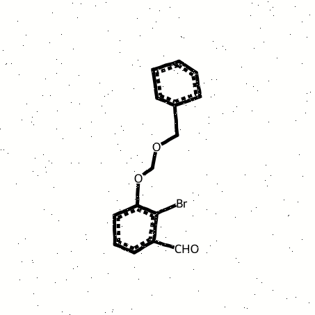 O=Cc1cccc(OCOCc2ccccc2)c1Br